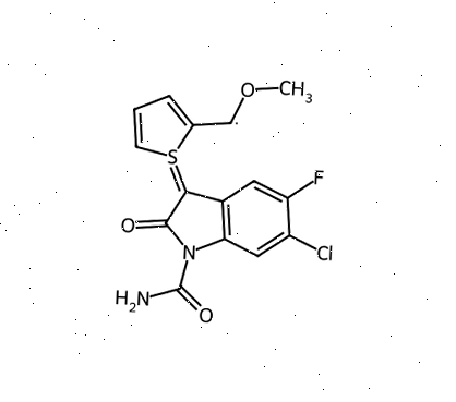 CO[CH]C1=CC=CS1=C1C(=O)N(C(N)=O)c2cc(Cl)c(F)cc21